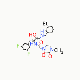 CCc1cccc(CNC[C@@H](O)[C@H](Cc2cc(F)cc(F)c2)NC(=O)CN2CCN(C)C(=O)C2=O)c1